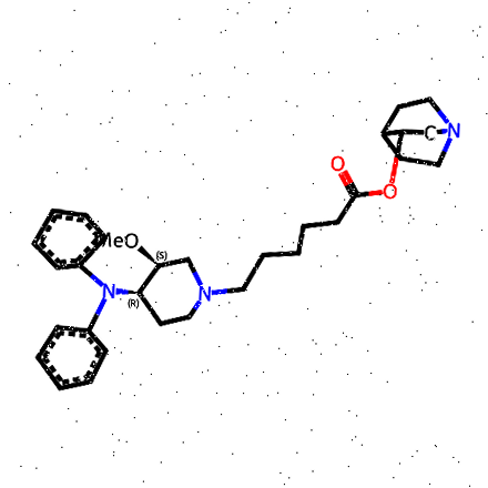 CO[C@H]1CN(CCCCCC(=O)OC2CN3CCC2CC3)CC[C@H]1N(c1ccccc1)c1ccccc1